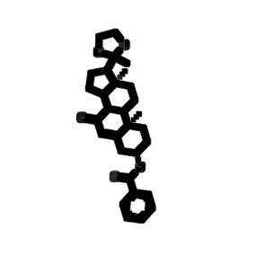 CC1(C2CCC3C4C(=O)C=C5C[C@@H](OC(=O)c6ccccc6)CC[C@]5(C)C4CC[C@@]32C)OCCO1